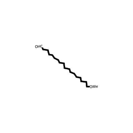 COCCCCCCCCCCCCCCCCCC=O